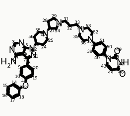 Nc1ncnc2c1c(-c1ccc(Oc3ccccc3)cc1)nn2C1CCN(C2CCN(CCCN3CCN(c4ccc(-n5ccc(=O)[nH]c5=O)cc4)CC3)C2)CC1